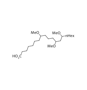 CCCCCCC(CC(CCCC(CCCCCCC(=O)O)OC)OC)OC